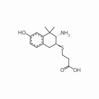 CC1(C)c2cc(O)ccc2C[C@H](SCCC(=O)O)[C@H]1N